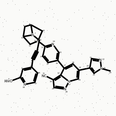 COc1cc(C#CCN2C3CC2CN(c2ccc(-c4cc(-c5cnn(C)c5)cn5ncc(C#N)c45)cn2)C3)ccn1